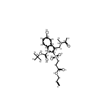 C=CCOC(=O)CCS(=O)(=O)c1c(CN(C)C(C)=O)c2cc(Cl)ccc2n1C(=O)OC(C)(C)C